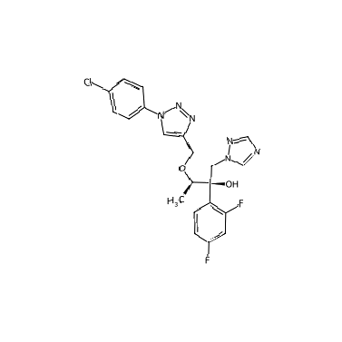 C[C@@H](OCc1cn(-c2ccc(Cl)cc2)nn1)[C@](O)(Cn1cncn1)c1ccc(F)cc1F